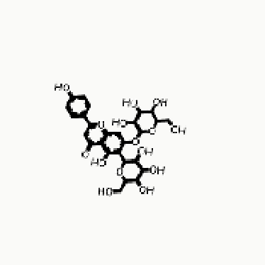 O=c1cc(-c2ccc(O)cc2)oc2cc(OC3OC(CO)C(O)C(O)C3O)c(C3OC(CO)C(O)C(O)C3O)c(O)c12